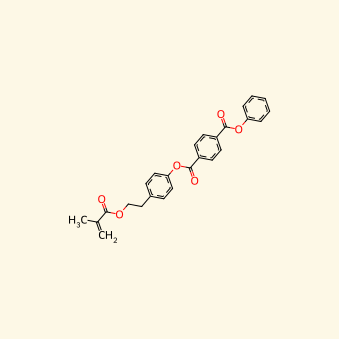 C=C(C)C(=O)OCCc1ccc(OC(=O)c2ccc(C(=O)Oc3ccccc3)cc2)cc1